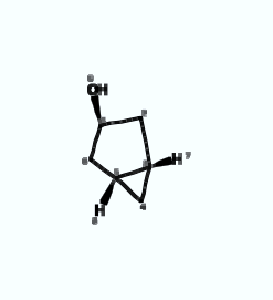 O[C@H]1C[C@@H]2C[C@@H]2C1